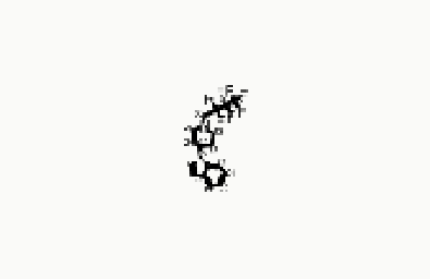 FC(F)(F)C(F)(F)C(F)(F)CN1CCC(n2ccc3ccccc32)CC1